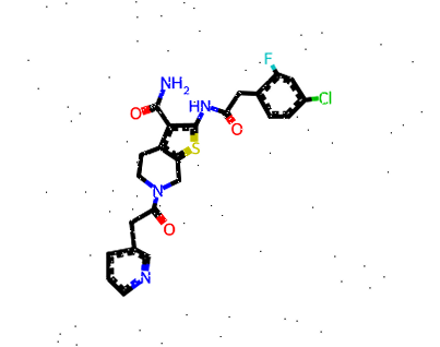 NC(=O)c1c(NC(=O)Cc2ccc(Cl)cc2F)sc2c1CCN(C(=O)Cc1cccnc1)C2